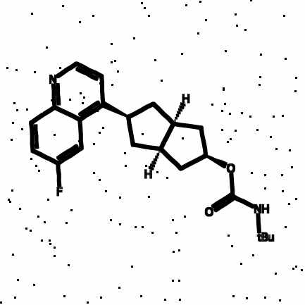 CC(C)(C)NC(=O)O[C@@H]1C[C@@H]2C[C@H](c3ccnc4ccc(F)cc34)C[C@@H]2C1